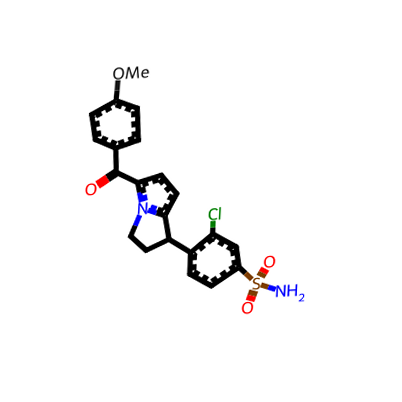 COc1ccc(C(=O)c2ccc3n2CCC3c2ccc(S(N)(=O)=O)cc2Cl)cc1